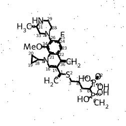 C=C(SCCCC(P(=C)(O)O)P(=O)(O)O)C1=CN(C2CC2)c2c(cc(F)c(N3CCNC(C)C3)c2OC)C1=C